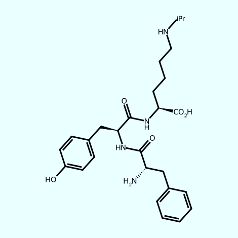 CC(C)NCCCC[C@H](NC(=O)[C@H](Cc1ccc(O)cc1)NC(=O)[C@@H](N)Cc1ccccc1)C(=O)O